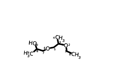 CCOC(C)COCC(C)O